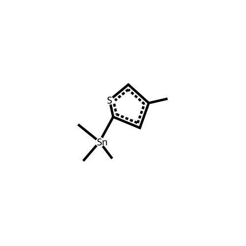 Cc1cs[c]([Sn]([CH3])([CH3])[CH3])c1